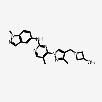 Cc1cnc(Nc2ccc3c(cnn3C)c2)nc1-n1cc(CN2CC(O)C2)c(C)n1